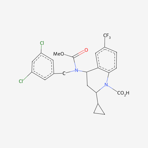 COC(=O)N(Cc1cc(Cl)cc(Cl)c1)C1CC(C2CC2)N(C(=O)O)c2ccc(C(F)(F)F)cc21